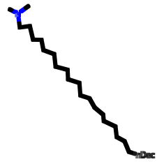 CCCCCCCCCCCCCCCCCCCCCCCCCCCCCN(C)C